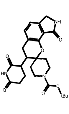 CC(C)(C)OC(=O)N1CCC2(CC1)Oc1c(ccc3c1C(=O)NC3)CC2C1CCC(=O)NC1=O